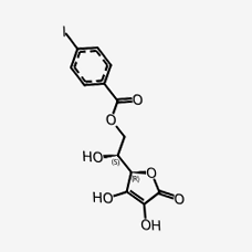 O=C1O[C@H]([C@@H](O)COC(=O)c2ccc(I)cc2)C(O)=C1O